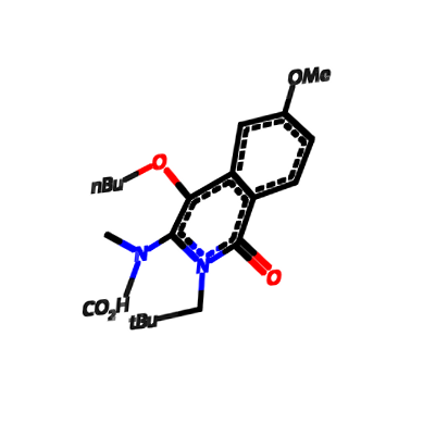 CCCCOc1c(N(C)C(=O)O)n(CC(C)(C)C)c(=O)c2ccc(OC)cc12